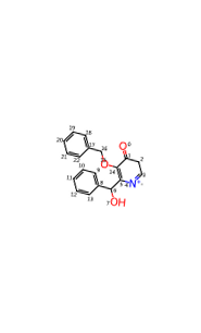 O=C1CC=[N+]C(C(O)c2ccccc2)=C1OCc1ccccc1